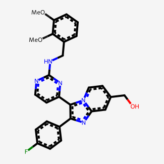 COc1cccc(CNc2nccc(-c3c(-c4ccc(F)cc4)nc4cc(CO)ccn34)n2)c1OC